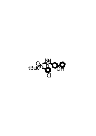 CC(C)(C)OC(=O)N1Cc2cc(Cl)ccc2-n2c(nnc2C2CCC(O)(c3ccccc3)CC2)C1